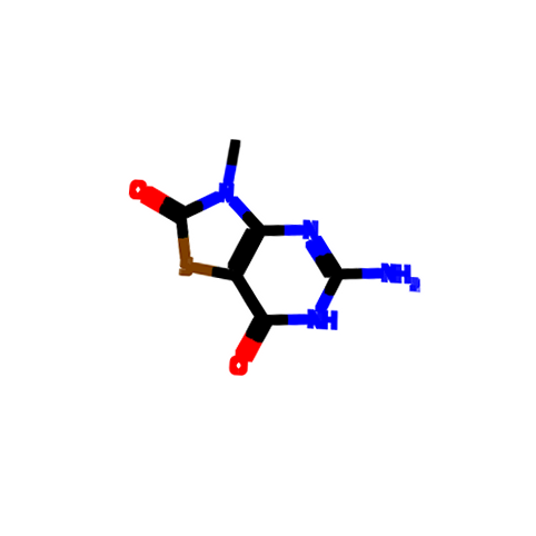 Cn1c(=O)sc2c(=O)[nH]c(N)nc21